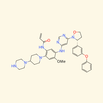 C=CC(=O)Nc1cc(Nc2cc(N3OCC[C@@H]3c3cccc(Oc4ccccc4)c3)ncn2)c(OC)cc1N1CCC(N2CCNCC2)CC1